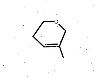 CC1=CCCOC1